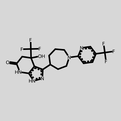 O=C1CC(O)(C(F)(F)F)c2c(C3CCCN(c4ccc(C(F)(F)F)cn4)CC3)n[nH]c2N1